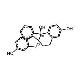 Oc1ccc2c(c1)C[C@]1(CCc3cc(O)ccc3[C@@]1(O)c1ccccc1)C2